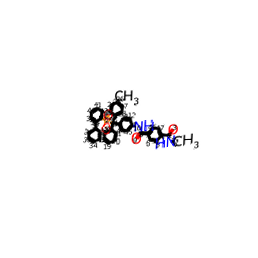 CNC(=O)c1ccc(C(=O)Nc2ccc(C(c3ccccc3)(c3ccc(C)cc3)P3(=O)Oc4ccccc4-c4ccccc43)cc2)cc1